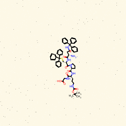 CC(C)(C)OC(=O)NCCC[C@H](NC(=O)[C@@H]1CCCN1C(=O)[C@H](CSC(c1ccccc1)(c1ccccc1)c1ccccc1)NC(=O)[C@@H](N)CC(=O)NC(c1ccccc1)(c1ccccc1)c1ccccc1)C(=O)NCC(=O)O